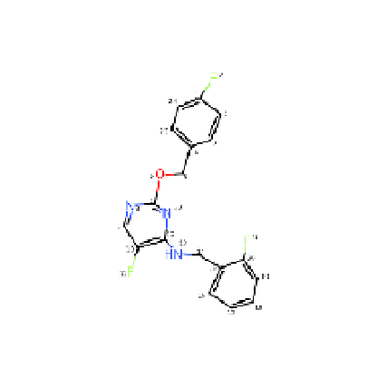 Fc1ccc(COc2ncc(F)c(NCc3ccccc3F)n2)cc1